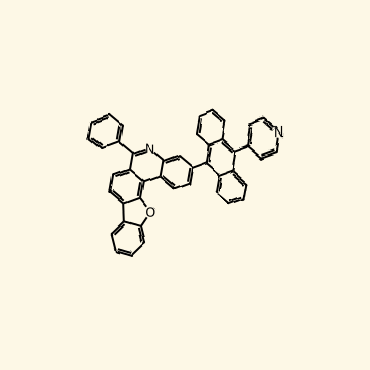 c1ccc(-c2nc3cc(-c4c5ccccc5c(-c5ccncc5)c5ccccc45)ccc3c3c2ccc2c4ccccc4oc23)cc1